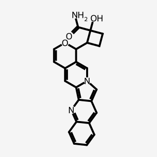 NC(=O)C1(O)CCC1C1OC=Cc2cc3c4nc5ccccc5cc4cn3cc21